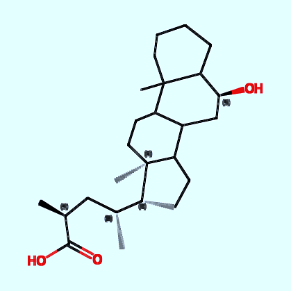 C[C@H](C[C@H](C)C(=O)O)[C@H]1CCC2C3C[C@H](O)C4CCCCC4(C)C3CC[C@@]21C